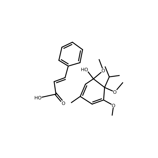 COC1=CC(C)=CC(O)(OC)C1(OC)C(C)C.O=C(O)C=Cc1ccccc1